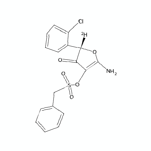 [2H][C@@]1(c2ccccc2Cl)OC(N)=C(OS(=O)(=O)Cc2ccccc2)C1=O